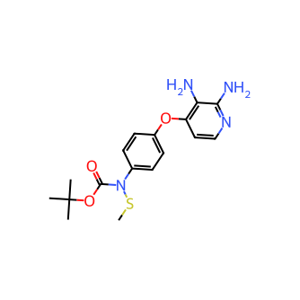 CSN(C(=O)OC(C)(C)C)c1ccc(Oc2ccnc(N)c2N)cc1